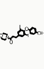 O=C(CCc1cc(I)c(Oc2ccc(O)cc2)c(I)c1)N1CCOCC1